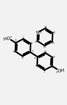 Oc1ccc(-c2ccc(O)cc2)cc1.c1ccncc1